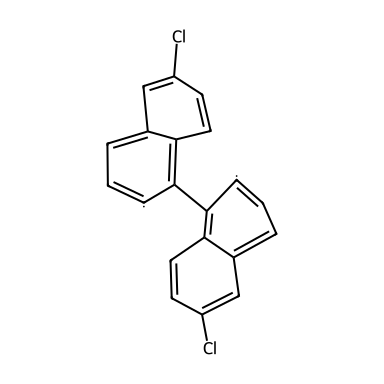 Clc1ccc2c(-c3[c]ccc4cc(Cl)ccc34)[c]ccc2c1